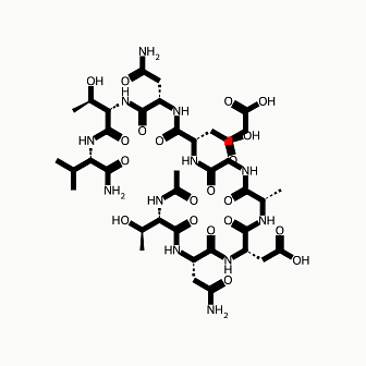 CC(=O)N[C@H](C(=O)N[C@@H](CC(N)=O)C(=O)N[C@@H](CC(=O)O)C(=O)N[C@@H](C)C(=O)N[C@@H](CCC(=O)O)C(=O)N[C@@H](CC(=O)O)C(=O)N[C@@H](CC(N)=O)C(=O)N[C@H](C(=O)N[C@H](C(N)=O)C(C)C)[C@@H](C)O)[C@@H](C)O